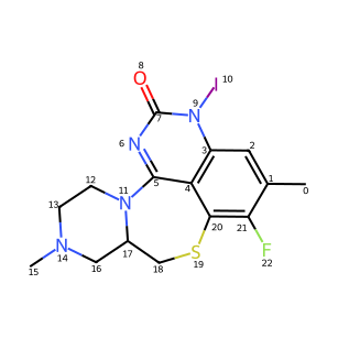 Cc1cc2c3c(nc(=O)n2I)N2CCN(C)CC2CSc3c1F